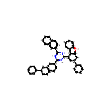 c1ccc(-c2ccc3ccc(C4=NC(c5cc(-c6ccccc6)cc6oc7ccccc7c56)NC(c5ccc6ccccc6c5)=N4)cc3c2)cc1